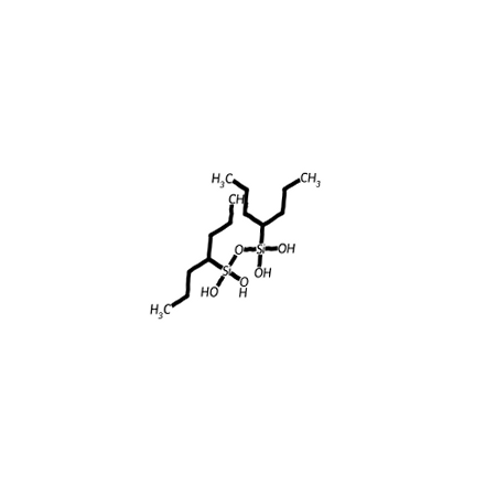 CCCC(CCC)[Si](O)(O)O[Si](O)(O)C(CCC)CCC